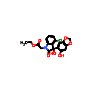 CCOC(=O)CN1C(=O)C(O)(c2cc3c(cc2O)OCO3)c2c(Cl)cccc21